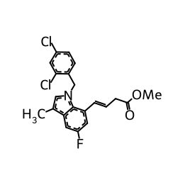 COC(=O)C/C=C/c1cc(F)cc2c(C)cn(Cc3ccc(Cl)cc3Cl)c12